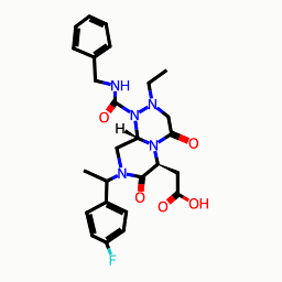 CCN1CC(=O)N2[C@@H](CC(=O)O)C(=O)N(C(C)c3ccc(F)cc3)C[C@@H]2N1C(=O)NCc1ccccc1